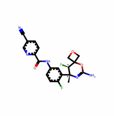 C[C@]1(c2cc(NC(=O)c3ccc(C#N)cn3)ccc2F)N=C(N)OC2(COC2)[C@@H]1F